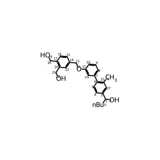 CCCCC(O)c1ccc(-c2cccc(OCc3ccc(CO)c(CO)c3)c2)c(C)c1